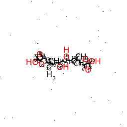 CC(C)(CCc1cocc(O)c1=O)CCC(O)CCC(O)CCC(C)(C)CCc1cocc(O)c1=O